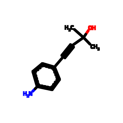 CC(C)(O)C#Cc1ccc(N)cc1